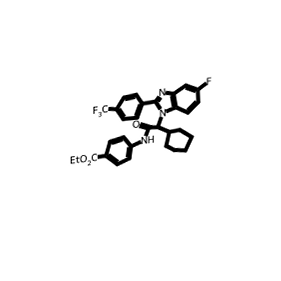 CCOC(=O)c1ccc(NC(=O)C(C2CCCCC2)n2c(-c3ccc(C(F)(F)F)cc3)nc3cc(F)ccc32)cc1